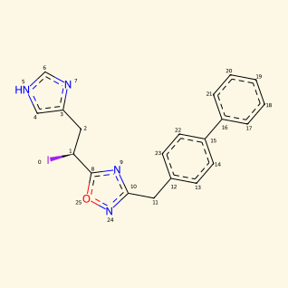 I[C@@H](Cc1c[nH]cn1)c1nc(Cc2ccc(-c3ccccc3)cc2)no1